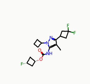 Cc1c(C2CC(F)(F)C2)nn(C2CCC2)c1NC(=O)O[C@H]1C[C@@H](F)C1